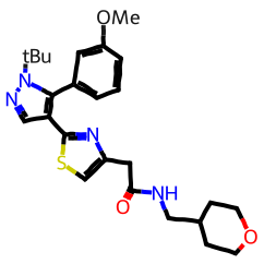 COc1cccc(-c2c(-c3nc(CC(=O)NCC4CCOCC4)cs3)cnn2C(C)(C)C)c1